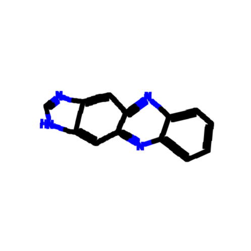 c1ccc2nc3cc4[nH]cnc4cc3nc2c1